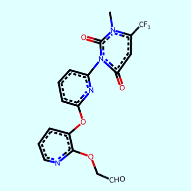 Cn1c(C(F)(F)F)cc(=O)n(-c2cccc(Oc3cccnc3OCC=O)n2)c1=O